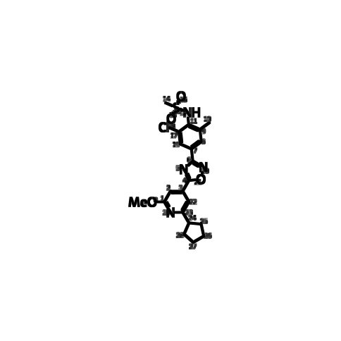 COc1cc(-c2nc(-c3cc(C)c(NS(C)(=O)=O)c(Cl)c3)no2)cc(C2CCCC2)n1